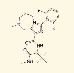 CNC(=O)C(NC(=O)c1nc(-c2c(F)cccc2F)n2c1CN(C)CCC2)C(C)(C)C